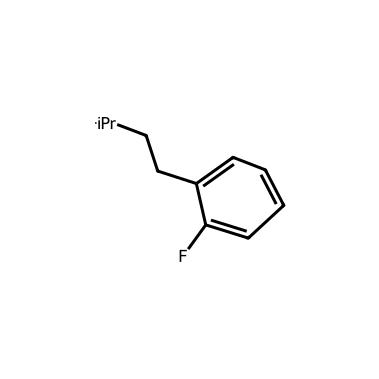 C[C](C)CCc1ccccc1F